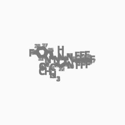 COCn1c(N2NC3=NC(C(F)(F)C(F)(F)C(F)(F)F)=NC3=CC2C)cc2ccc(F)cc21